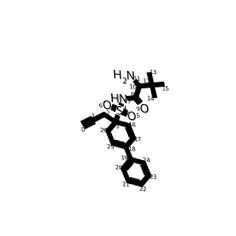 C#CCC1(S(=O)(=O)NC(=O)C(N)C(C)(C)C)C=CC(c2ccccc2)=CC1